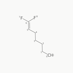 [CH]CCCCC=C(F)F